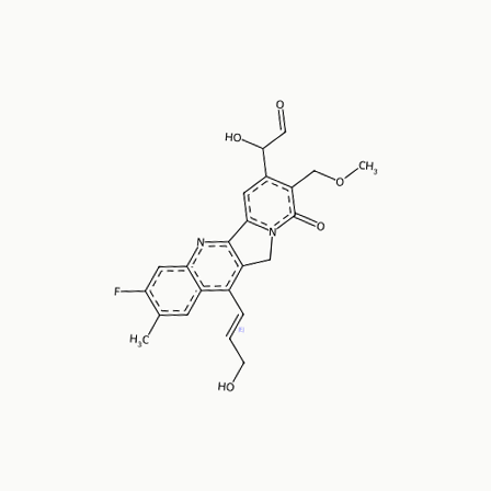 COCc1c(C(O)C=O)cc2n(c1=O)Cc1c-2nc2cc(F)c(C)cc2c1/C=C/CO